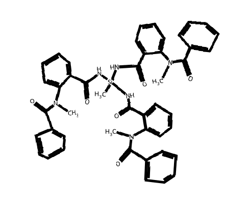 CN(C(=O)c1ccccc1)c1ccccc1C(=O)N[Si](C)(NC(=O)c1ccccc1N(C)C(=O)c1ccccc1)NC(=O)c1ccccc1N(C)C(=O)c1ccccc1